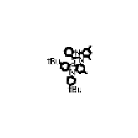 Cc1cc2c3c(c1)-n1c4c(C)cc(C)cc4n4c5ccccc5c(c14)B3c1cc(C(C)(C)C)ccc1N2c1ccc(C(C)(C)C)cc1